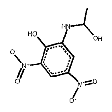 CC(O)Nc1cc([N+](=O)[O-])cc([N+](=O)[O-])c1O